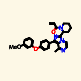 C=CC(=O)N1CCCCC1c1nc(-c2ccc(Oc3cccc(OC)c3)cc2)c2c(C)nccn12